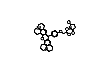 O=C(COc1ccc(C2=c3cc4c5c(c3Oc3c2cc2c6c3CCCN6CCC2)CCC[N+]=5CCC4)cc1)ON1C(=O)CCC1=O